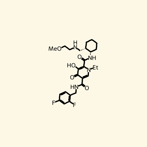 CCn1cc(C(=O)NCc2ccc(F)cc2F)c(=O)c(O)c1C(=O)N[C@H]1CCCC[C@H]1CNCCOC